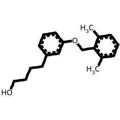 Cc1cccc(C)c1COc1cccc(CCCCO)c1